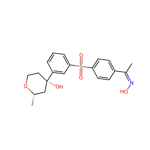 C/C(=N/O)c1ccc(S(=O)(=O)c2cccc([C@]3(O)CCO[C@@H](C)C3)c2)cc1